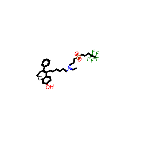 CCN(CCCCCCC1=C(c2ccccc2)CCCC2CC(O)=CC=C12)CCCS(=O)(=O)CCCC(F)(F)C(F)(F)F